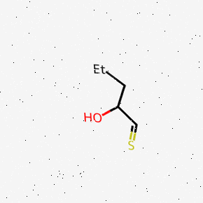 CCCC(O)C=S